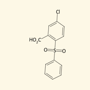 O=C(O)c1cc(Cl)ccc1S(=O)(=O)c1ccccc1